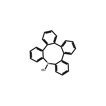 CC(C)(C)n1c2ccccc2c2ccccc2c2ccccc2c2ccccc21